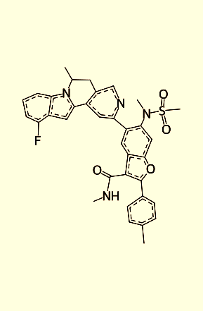 CNC(=O)c1c(-c2ccc(C)cc2)oc2cc(N(C)S(C)(=O)=O)c(-c3cc4c(cn3)CC(C)n3c-4cc4c(F)cccc43)cc12